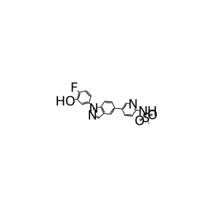 CS(=O)(=O)Nc1ccc(-c2ccc3c(cnn3-c3ccc(F)c(O)c3)c2)cn1